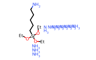 CCO[Si](CCCCCN)(OCC)OCC.N.N.N.N.N.N.N.N.N.N.N